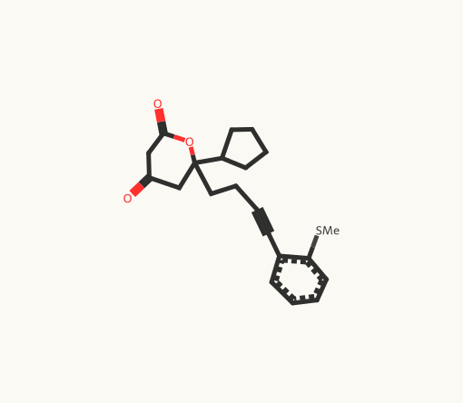 CSc1ccccc1C#CCCC1(C2CCCC2)CC(=O)CC(=O)O1